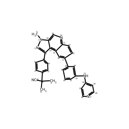 Cn1nc(-c2ccc(C(C)(C)C#N)cc2)c2c3cc(-c4cccc(Nc5ccncc5)c4)ccc3ncc21